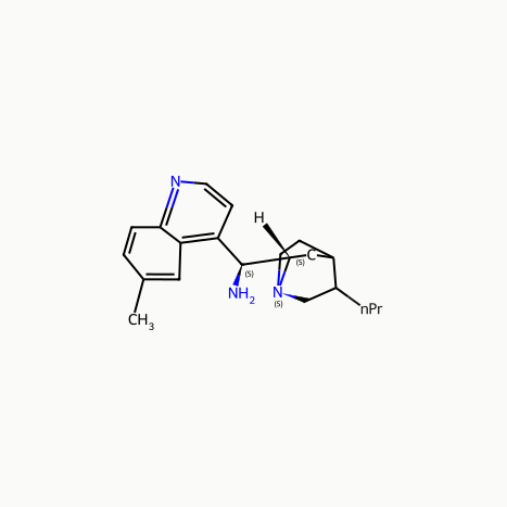 CCCC1C[N@@]2CCC1C[C@H]2[C@@H](N)c1ccnc2ccc(C)cc12